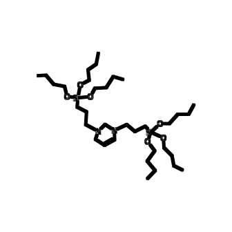 CCCCO[Si](CCCN1C=CCN(CCC[Si](OCCCC)(OCCCC)OCCCC)C1)(OCCCC)OCCCC